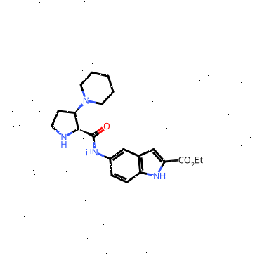 CCOC(=O)c1cc2cc(NC(=O)[C@H]3NCC[C@H]3N3CCCCC3)ccc2[nH]1